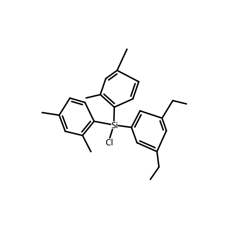 CCc1cc(CC)cc([Si](Cl)(c2ccc(C)cc2C)c2ccc(C)cc2C)c1